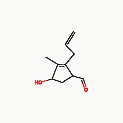 C=CCC1=C(C)C(O)CC1C=O